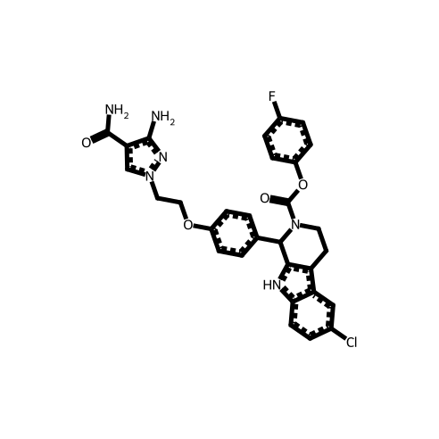 NC(=O)c1cn(CCOc2ccc(C3c4[nH]c5ccc(Cl)cc5c4CCN3C(=O)Oc3ccc(F)cc3)cc2)nc1N